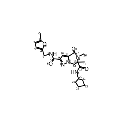 Cc1ccc(CNC(=O)c2cc3n(n2)CC(C)(C(=O)NC2CCCC2)N(C)C3=O)o1